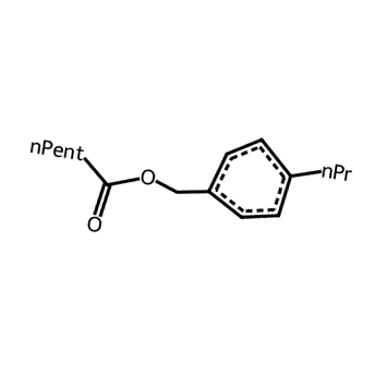 CCCCCC(=O)OCc1ccc(CCC)cc1